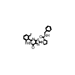 O=C(NCc1ccccc1)[C@H]1CCCN1c1nc2c(=O)[nH]c(-c3c(F)cccc3F)nc2s1